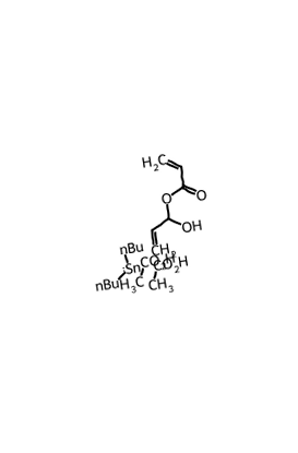 C=CC(=O)OC(O)C=C.CC(=O)O.CC(=O)O.CCC[CH2][Sn][CH2]CCC